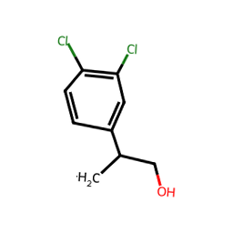 [CH2]C(CO)c1ccc(Cl)c(Cl)c1